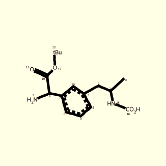 CC(Cc1cccc(C(N)C(=O)OC(C)(C)C)c1)NC(=O)O